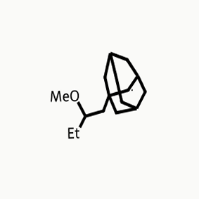 CCC(CC12[CH]C3CC(CC(C3)C1)C2)OC